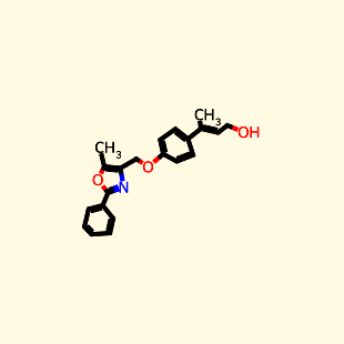 C/C(=C\CO)c1ccc(OCc2nc(-c3ccccc3)oc2C)cc1